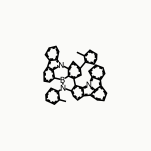 Cc1ccccc1-c1cc2c3c(c1)-n1c4ccccc4c4cccc(c41)B3N(c1ccccc1C)c1ccc3c4cccc5c6ccccc6n(c3c1-2)c54